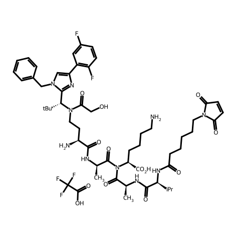 CC(C)[C@H](NC(=O)CCCCCN1C(=O)C=CC1=O)C(=O)N[C@@H](C)C(=O)N(C(=O)[C@@H](C)NC(=O)[C@@H](N)CCN(C(=O)CO)[C@@H](c1nc(-c2cc(F)ccc2F)cn1Cc1ccccc1)C(C)(C)C)[C@@H](CCCCN)C(=O)O.O=C(O)C(F)(F)F